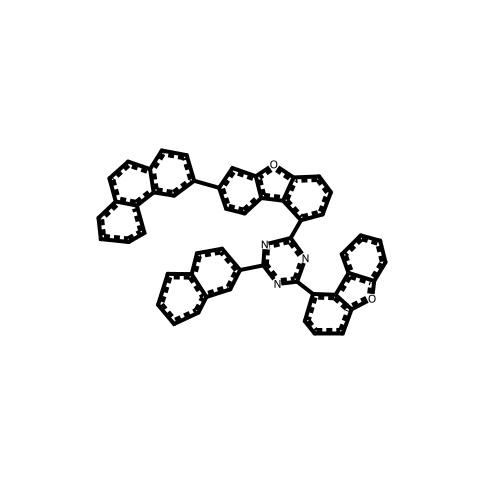 c1ccc2cc(-c3nc(-c4cccc5oc6ccccc6c45)nc(-c4cccc5oc6cc(-c7ccc8ccc9ccccc9c8c7)ccc6c45)n3)ccc2c1